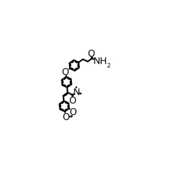 CN(C)C(=O)C(=Cc1ccc2c(c1)OCO2)c1ccc(Oc2ccc(CCC(N)=O)cc2)cc1